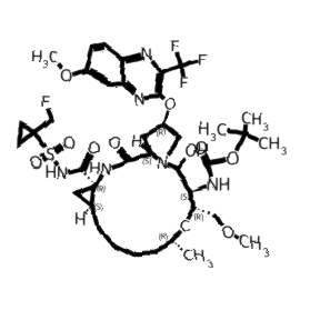 COC[C@@H]1C[C@H](C)CCCC[C@H]2C[C@@]2(C(=O)NS(=O)(=O)C2(CF)CC2)NC(=O)[C@@H]2C[C@@H](Oc3nc4cc(OC)ccc4nc3C(F)(F)F)CN2C(O)[C@H]1NC(=O)OC(C)(C)C